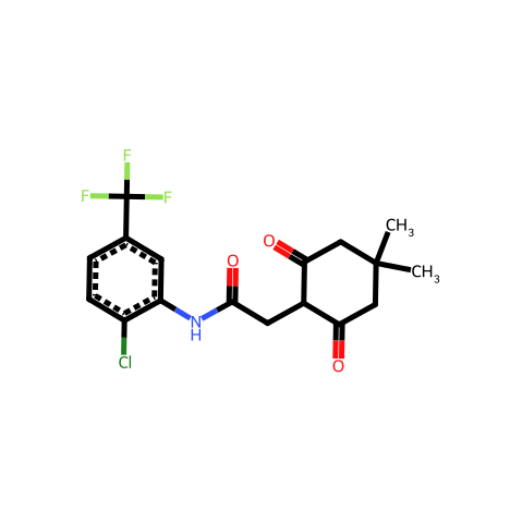 CC1(C)CC(=O)C(CC(=O)Nc2cc(C(F)(F)F)ccc2Cl)C(=O)C1